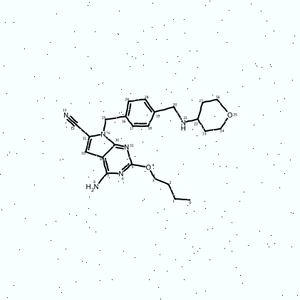 CCCCOc1nc(N)c2cc(C#N)n(Cc3ccc(CNC4CCOCC4)cc3)c2n1